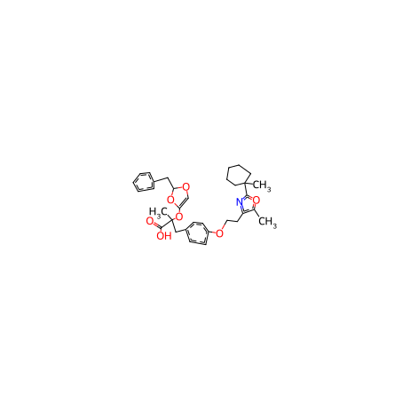 Cc1oc(C2(C)CCCCC2)nc1CCOc1ccc(CC(C)(OC2=COC(Cc3ccccc3)O2)C(=O)O)cc1